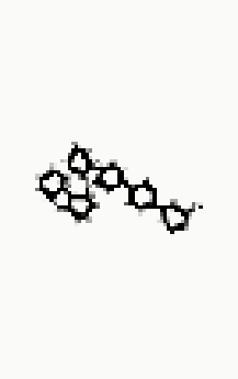 Brc1cccc(-c2ccc(-c3ccc4c5ccccc5n(-c5cccc6oc7ccccc7c56)c4c3)cc2)c1